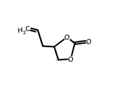 C=CCC1[CH]OC(=O)O1